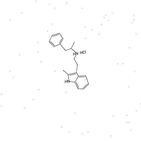 Cc1[nH]c2ccccc2c1CCNC(C)Cc1ccccc1.Cl